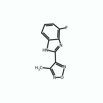 Cc1nonc1-c1nc2c(F)cccc2[nH]1